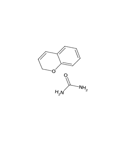 C1=Cc2ccccc2OC1.NC(N)=O